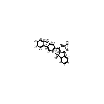 CC1(C)c2ccccc2-c2nc(Cl)nc(-c3ccc4c(c3)sc3ccccc34)c21